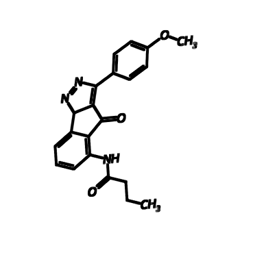 CCCC(=O)Nc1cccc2c1C(=O)C1=C(c3ccc(OC)cc3)N=NC12